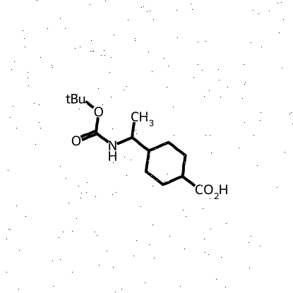 CC(NC(=O)OC(C)(C)C)C1CCC(C(=O)O)CC1